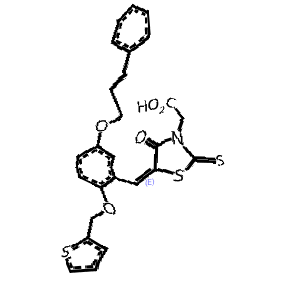 O=C(O)CN1C(=O)/C(=C\c2cc(OCCCc3ccccc3)ccc2OCc2cccs2)SC1=S